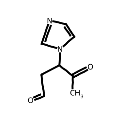 CC(=O)C(CC=O)n1ccnc1